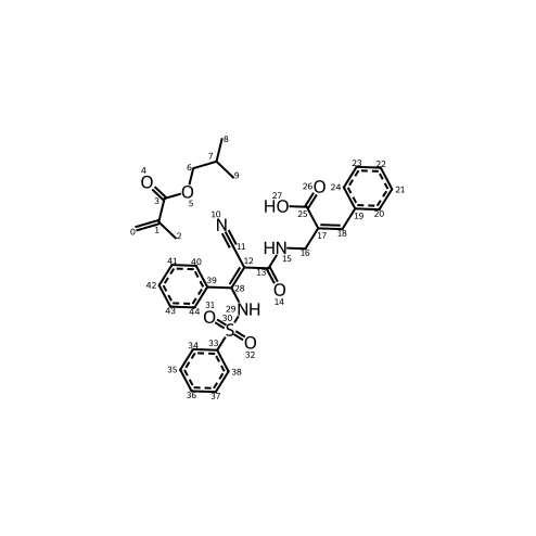 C=C(C)C(=O)OCC(C)C.N#CC(C(=O)NCC(=Cc1ccccc1)C(=O)O)=C(NS(=O)(=O)c1ccccc1)c1ccccc1